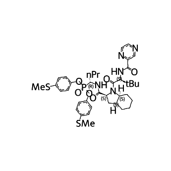 CCC[C@H](NC(=O)[C@@H]1C[C@@H]2CCCC[C@@H]2N1C(=O)[C@@H](NC(=O)c1cnccn1)C(C)(C)C)P(=O)(Oc1ccc(SC)cc1)Oc1ccc(SC)cc1